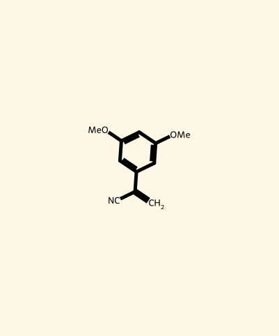 C=C(C#N)c1cc(OC)cc(OC)c1